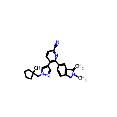 C=C1c2cc(-c3nc(C#N)ccc3-c3cnn(CC4(C)CCCC4)c3)ccc2CN1C